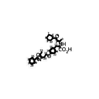 C/C(=C\C(=O)C1CCCCC1)N[C@@H](Cc1ccc(OCCc2nc(-c3ccccc3)oc2C)cc1)C(=O)O